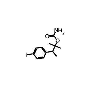 CC(c1ccc(I)cc1)C(C)(C)OC(N)=O